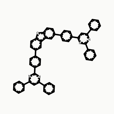 c1ccc(-c2cc(-c3ccc(-c4ccc5oc6ccc(-c7ccc(-c8nc(-c9ccccc9)cc(-c9ccccc9)n8)cc7)cc6c5c4)cc3)nc(-c3ccccc3)n2)cc1